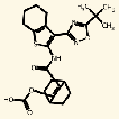 CC(C)(C)c1nc(-c2c(NC(=O)C3=C(OC(=O)O)C4CCC3CC4)sc3c2CCCC3)no1